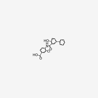 O=C(O)c1ccc(NC(=O)c2cc(-c3ccccc3)ccc2O)c(Cl)c1